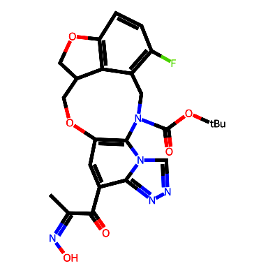 C/C(=N/O)C(=O)c1cc2c(n3cnnc13)N(C(=O)OC(C)(C)C)Cc1c(F)ccc3c1C(CO3)CO2